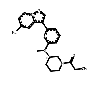 CN(c1cccc(-c2cnn3ccc(C#N)cc23)n1)[C@@H]1CCCN(C(=O)CC#N)C1